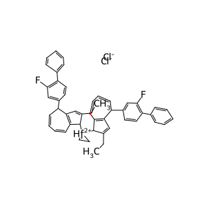 CCC1=CC2=C(C=CC=CC2c2ccc(-c3ccccc3)c(F)c2)[CH]1[Hf+2]1([CH]2C(CC)=CC3=C2C=CC=CC3c2ccc(-c3ccccc3)c(F)c2)[CH2][CH2]1.[Cl-].[Cl-]